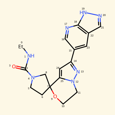 CCNC(=O)N1CCC2(C1)OCCn1nc(-c3cnc4[nH]ncc4c3)cc12